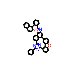 c1ccc(-c2nc(-c3ccccc3)nc(-c3cccc4oc5ccc(-c6ccc7oc(-c8ccccc8-c8cccc9ccccc89)nc7c6)cc5c34)n2)cc1